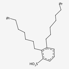 CC(C)CCCCCCc1cccc(S(=O)(=O)O)c1CCCCCCC(C)C